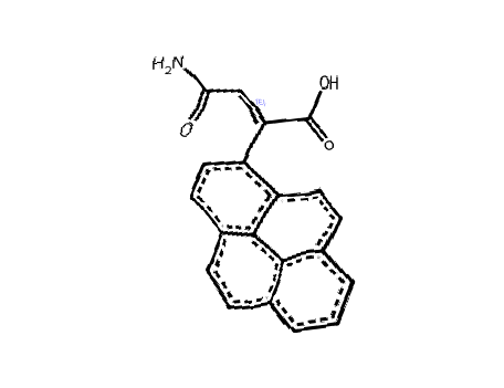 NC(=O)/C=C(/C(=O)O)c1ccc2ccc3cccc4ccc1c2c34